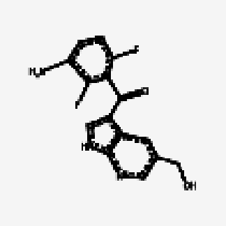 Nc1ccc(F)c(C(=O)c2c[nH]c3ncc(CO)cc23)c1F